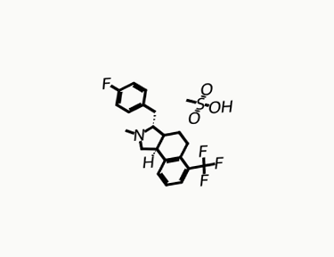 CN1C[C@@H]2c3cccc(C(F)(F)F)c3CCC2[C@H]1Cc1ccc(F)cc1.CS(=O)(=O)O